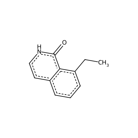 CCc1cccc2cc[nH]c(=O)c12